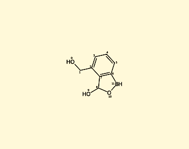 OCc1cccc2c1C(O)OB2